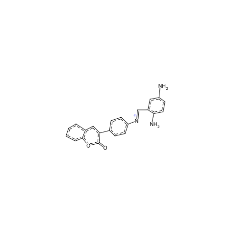 Nc1ccc(N)c(/C=N/c2ccc(-c3cc4ccccc4oc3=O)cc2)c1